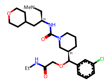 CCNC(=O)COC(c1cccc(Cl)c1)[C@@H]1CCCN(C(=O)N[C@H](CNC)CC2CCOCC2)C1